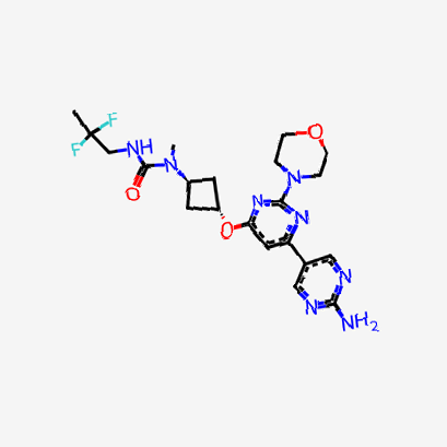 CN(C(=O)NCC(C)(F)F)[C@H]1C[C@H](Oc2cc(-c3cnc(N)nc3)nc(N3CCOCC3)n2)C1